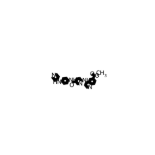 COC(=O)c1ccc2nccc(Nc3ccc(C(=O)Nc4ccc(Nc5ccncc5)cc4)cn3)c2c1